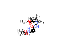 CCOC(=O)/C(C)=C/[C@H](C(C)C)N(C)C(=O)CNC(=O)c1cccc(CNC(=O)OC(C)(C)C)c1